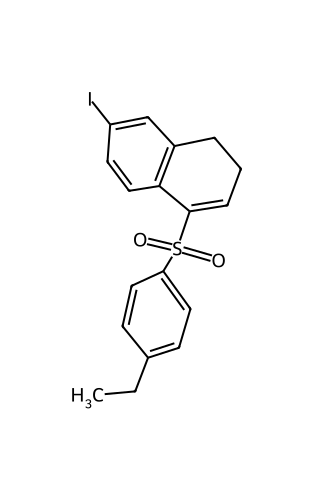 CCc1ccc(S(=O)(=O)C2=CCCc3cc(I)ccc32)cc1